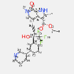 CCOC(=O)c1c(C)[nH]c2c(=O)n(C)cc(C#CC(O)(c3cccc(-c4cccnc4)c3)C(F)(F)F)c12